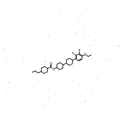 CCCC1CCC(C(=O)OC2CCC(C3CCC(c4ccc(OCC)c(F)c4F)CC3)CC2)CC1